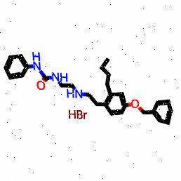 Br.CCCCc1cc(OCc2ccccc2)ccc1CCNCCNC(=O)Nc1ccccc1